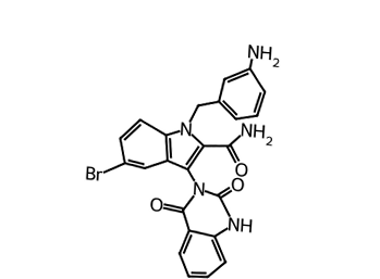 NC(=O)c1c(-n2c(=O)[nH]c3ccccc3c2=O)c2cc(Br)ccc2n1Cc1cccc(N)c1